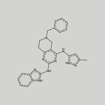 Cc1cc(Nc2nc(Nc3nc4ccccc4[nH]3)nc3c2CN(Cc2ccccc2)CC3)[nH]n1